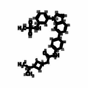 CN(C)C1CN(CC(=O)Nc2ccc(-c3ccc4ncn(-c5cccc(NS(C)(=O)=O)c5)c4n3)cc2)C1